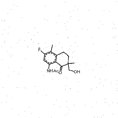 CC(=O)Nc1cc(F)c(C)c2c1C(=O)C(C)(CO)CC2